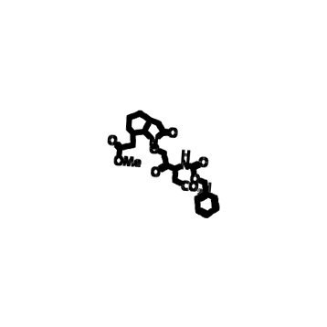 COC(=O)CC1CCCC2CC(=O)N(OCC(=O)C(CC(=O)O)NC(=O)OCc3ccccc3)C12